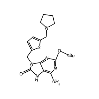 CCCCOc1nc(N)c2[nH]c(=O)n(Cc3ccc(CN4CCCC4)s3)c2n1